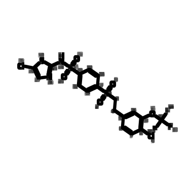 O=S(=O)(CCc1ccc(Cl)c(OC(F)(F)F)c1)c1ccc(S(=O)(=O)Nc2ncc(Cl)s2)cc1